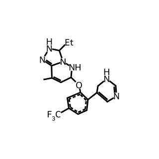 CCC1NN=C2C(C)=CC(Oc3cc(C(F)(F)F)ccc3C3=CN=CNC3)NN21